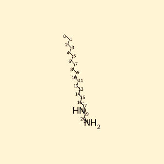 CCCCCCCCCCCCCCCC[CH]CNCCN